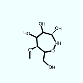 CO[C@@H]1C(CO)ON[C@@H](O)C(O)C1O